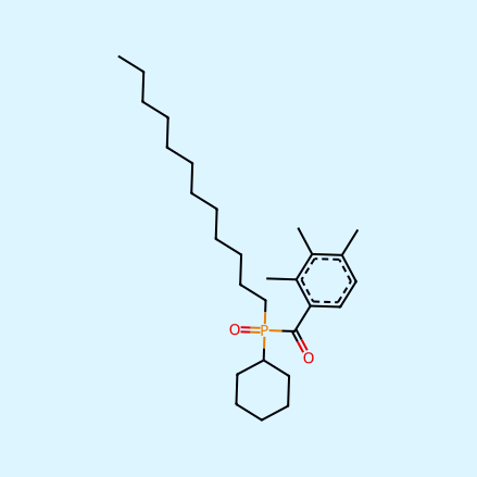 CCCCCCCCCCCCP(=O)(C(=O)c1ccc(C)c(C)c1C)C1CCCCC1